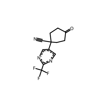 N#CC1(c2cnc(C(F)(F)F)nc2)CCC(=O)CC1